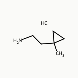 CC1(CCN)CC1.Cl